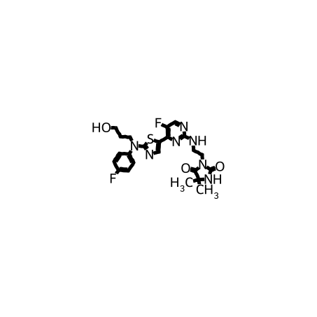 CC1(C)NC(=O)N(CCNc2ncc(F)c(-c3cnc(N(CCCO)c4ccc(F)cc4)s3)n2)C1=O